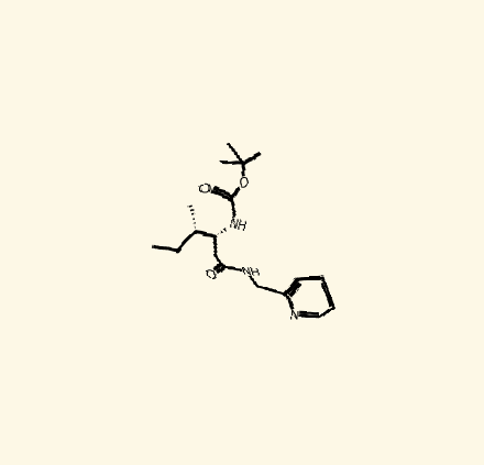 CC[C@H](C)[C@H](NC(=O)OC(C)(C)C)C(=O)NCc1ccccn1